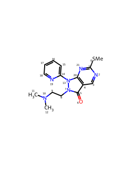 CSc1ncc2c(=O)n(CCN(C)C)n(-c3ccccn3)c2n1